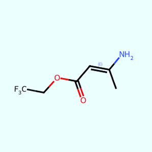 C/C(N)=C\C(=O)OCC(F)(F)F